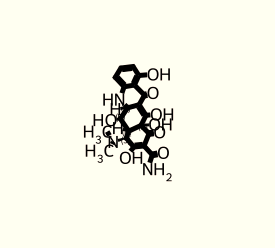 CN(C)[C@@H]1C(O)=C(C(N)=O)C(=O)[C@@]2(O)C(O)=C3C(=O)c4c(O)cccc4N[C@H]3[C@H](O)[C@@H]12